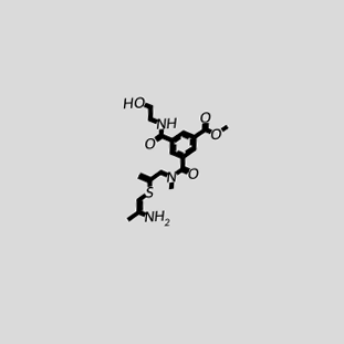 C=C(CN(C)C(=O)c1cc(C(=O)NCCO)cc(C(=O)OC)c1)S/C=C(/C)N